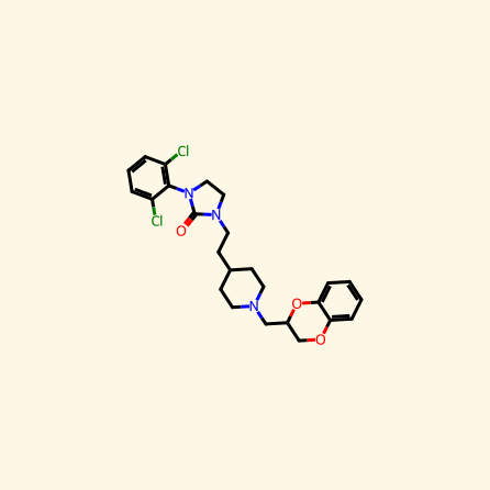 O=C1N(CCC2CCN(CC3COc4ccccc4O3)CC2)CCN1c1c(Cl)cccc1Cl